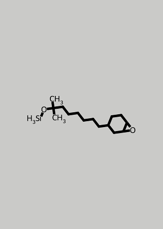 CC(C)(CCCCCCC1CCC2OC2C1)O[SiH3]